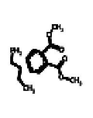 CCCCP.COC(=O)c1ccccc1C(=O)OC